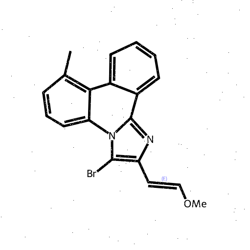 CO/C=C/c1nc2c3ccccc3c3c(C)cccc3n2c1Br